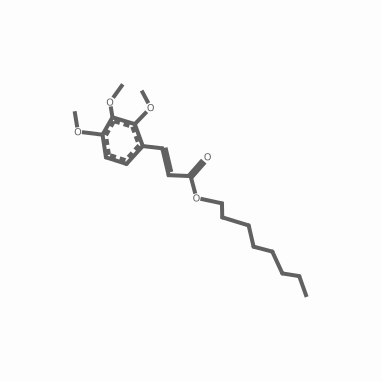 CCCCCCCCOC(=O)C=Cc1ccc(OC)c(OC)c1OC